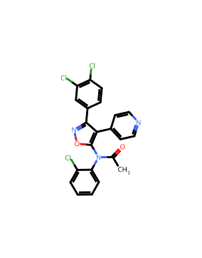 CC(=O)N(c1ccccc1Cl)c1onc(-c2ccc(Cl)c(Cl)c2)c1-c1ccncc1